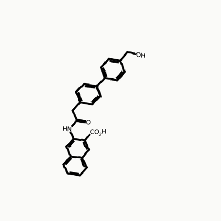 O=C(Cc1ccc(-c2ccc(CO)cc2)cc1)Nc1cc2ccccc2cc1C(=O)O